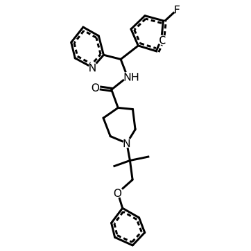 CC(C)(COc1ccccc1)N1CCC(C(=O)NC(c2ccc(F)cc2)c2ccccn2)CC1